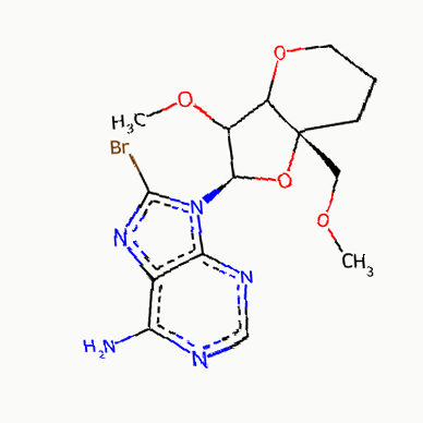 COC[C@]12CCCOC1C(OC)[C@H](n1c(Br)nc3c(N)ncnc31)O2